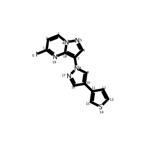 Ic1ccn2ncc(-n3cc(-c4ccsc4)cn3)c2n1